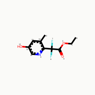 CCOC(=O)C(F)(F)c1ncc(O)cc1C